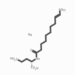 CCCCCCCCC=CCCCCCCCC(=O)N[C@@H](CCC(=O)O)C(=O)O.[Na]